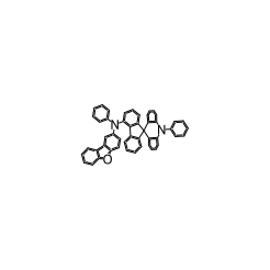 c1ccc(N(c2ccc3oc4ccccc4c3c2)c2cccc3c2-c2ccccc2C32c3ccccc3N(c3ccccc3)c3ccccc32)cc1